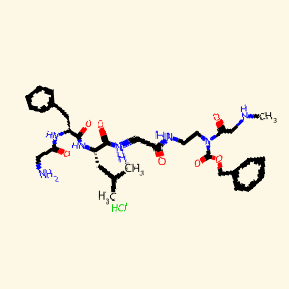 CNCC(=O)N(CCNC(=O)CNC(=O)[C@H](CC(C)C)NC(=O)[C@H](Cc1ccccc1)NC(=O)CN)C(=O)OCc1ccccc1.Cl